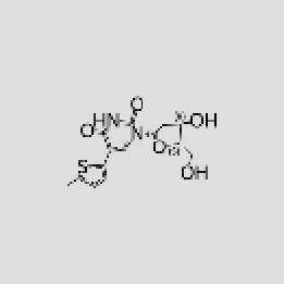 Cc1ccc(-c2cn([C@@H]3C[C@@H](O)[C@H](CO)O3)c(=O)[nH]c2=O)s1